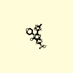 Cc1noc(-c2nc3sc([S+](C)[O-])nc3c(=O)n2C2CCOCC2)n1